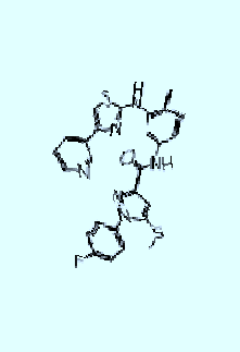 CSc1cc(C(=O)Nc2ccc(C)c(Nc3nc(-c4cccnc4)cs3)c2)nn1-c1ccc(F)cc1